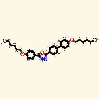 CCCCCCOc1ccc(-c2ccc(-c3nnc(-c4ccc(OCCCCCC)cc4)o3)cc2)cc1